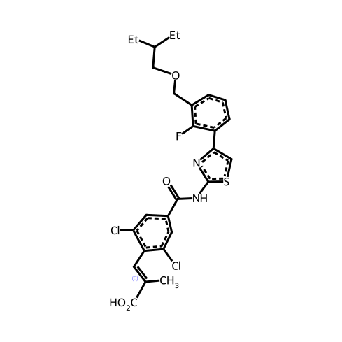 CCC(CC)COCc1cccc(-c2csc(NC(=O)c3cc(Cl)c(/C=C(\C)C(=O)O)c(Cl)c3)n2)c1F